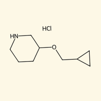 C1CNCC(OCC2CC2)C1.Cl